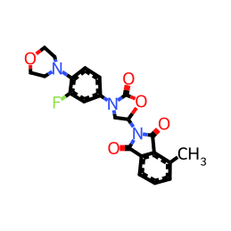 Cc1cccc2c1C(=O)N(C1CN(c3ccc(N4CCOCC4)c(F)c3)C(=O)O1)C2=O